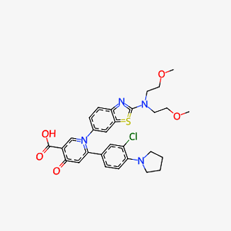 COCCN(CCOC)c1nc2ccc(-n3cc(C(=O)O)c(=O)cc3-c3ccc(N4CCCC4)c(Cl)c3)cc2s1